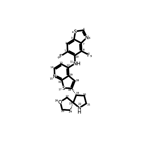 Fc1cc2scnc2c(F)c1Nc1ccnc2sc([C@@H]3CCN[C@]34CCOC4)cc12